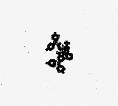 C=C/C(=C\C=C(/C)N(c1ccc(C)cc1)c1ccc(C)cc1)C1(c2ccc(N(c3ccc(C)cc3)c3ccc(C)cc3)cc2)c2ccccc2-c2cc(C(C)(C)C)nn21